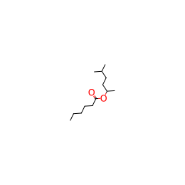 CCCCCC(=O)OC(C)CCC(C)C